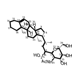 CC(=O)N[C@H]1C(C(C[C@@H](C)[C@H]2CC[C@H]3[C@@H]4CC=C5CCCC[C@]5(C)[C@H]4CC[C@]23C)C(=O)O)O[C@H](CO)[C@@H](O)[C@@H]1O